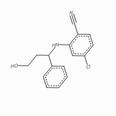 N#Cc1ccc(Cl)cc1NC(CCO)c1ccccc1